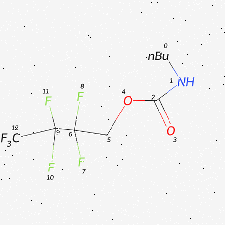 CCCCNC(=O)OCC(F)(F)C(F)(F)C(F)(F)F